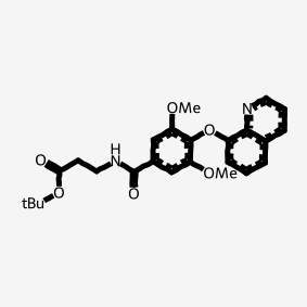 COc1cc(C(=O)NCCC(=O)OC(C)(C)C)cc(OC)c1Oc1cccc2cccnc12